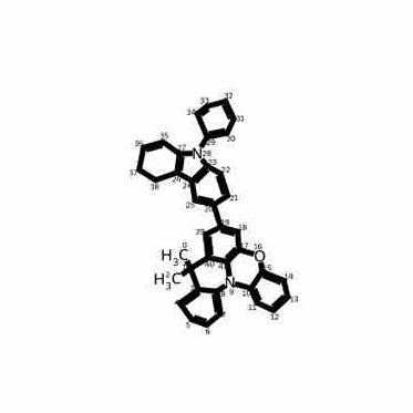 CC1(C)c2ccccc2N2c3ccccc3Oc3cc(-c4ccc5c(c4)c4c(n5-c5ccccc5)C=CCC4)cc1c32